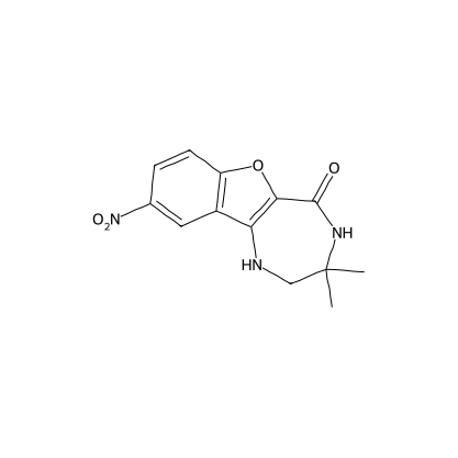 CC1(C)CNc2c(oc3ccc([N+](=O)[O-])cc23)C(=O)N1